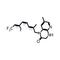 C\C(=C/C=C\C(F)=C\C(F)(F)F)CN1C(=O)CNc2ncc(C)cc21